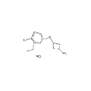 Cl.NC1CC(Oc2ccc(F)c(CF)c2)C1